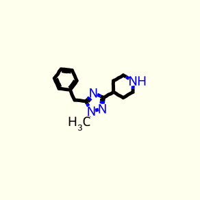 Cn1nc(C2CCNCC2)nc1Cc1ccccc1